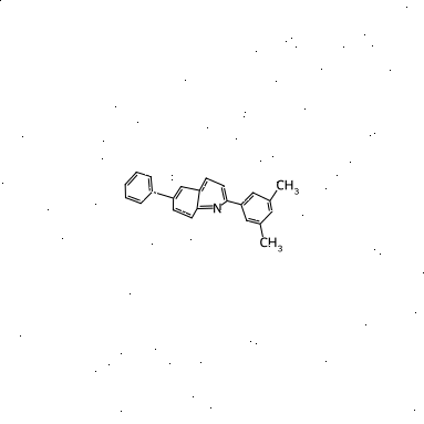 Cc1cc(C)cc(-c2ccc3cc(-c4ccccc4)ccc3n2)c1